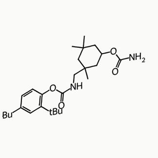 CC1(C)CC(OC(N)=O)CC(C)(CNC(=O)Oc2ccc(C(C)(C)C)cc2C(C)(C)C)C1